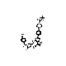 COc1ccc([C@@H](C)N2CC([C@@H](C)Oc3nc(-c4ccc(N5CCN(C(=O)OC(C)(C)C)CC5)cc4)cn4ncc(C#N)c34)CC2=O)cc1